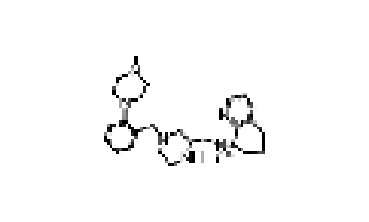 CN1CCN(c2ccccc2CN2CCNC(CN(C)[C@H]3CCCc4cccnc43)C2)CC1